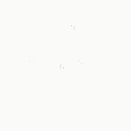 O=C(C[C@@H](CCCC1CCCCC1)c1nc(Cc2ccccn2)no1)OC(=O)C(F)(F)F